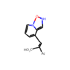 CC(=O)C(=CC1=CC=CN2ONC=C12)C(=O)O